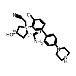 N#CC[N+]1(c2cc(-c3ccc(N4CCNCC4)cc3)ccc2Cl)C[C@@H](O)C[C@H]1C(N)=O